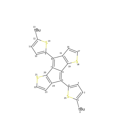 CC(C)(C)c1ccc(C2=C3C(=C(c4ccc(C(C)(C)C)s4)c4ccsc43)c3sccc32)s1